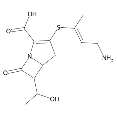 CC(=CCN)SC1=C(C(=O)O)N2C(=O)C(C(C)O)C2C1